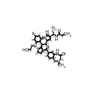 C=CC(=O)N[C@H](C)c1cc(-c2nc(-c3ccc4c(c3)NC(=O)CN(C)C4)c3ccsc3c2-c2c(F)cc(F)cc2OCCO)n[nH]1